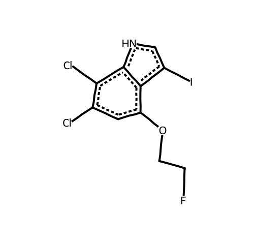 FCCOc1cc(Cl)c(Cl)c2[nH]cc(I)c12